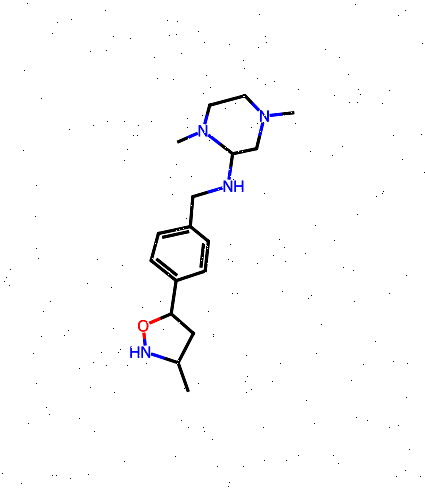 CC1CC(c2ccc(CNC3CN(C)CCN3C)cc2)ON1